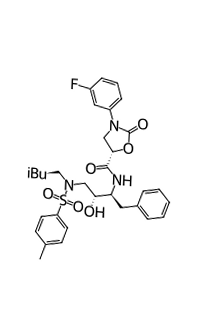 CC[C@H](C)CN(C[C@@H](O)[C@H](Cc1ccccc1)NC(=O)[C@@H]1CN(c2cccc(F)c2)C(=O)O1)S(=O)(=O)c1ccc(C)cc1